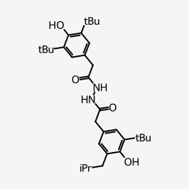 CC(C)Cc1cc(CC(=O)NNC(=O)Cc2cc(C(C)(C)C)c(O)c(C(C)(C)C)c2)cc(C(C)(C)C)c1O